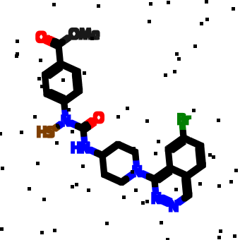 COC(=O)c1ccc(N(S)C(=O)NC2CCN(c3nncc4ccc(Br)cc34)CC2)cc1